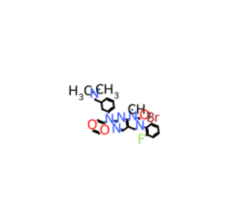 CN(C)CC1C=CC=C(N(C2=COC=CO2)c2ncc3c(n2)N(C)C(=O)N(c2c(F)cccc2Br)C3)C1